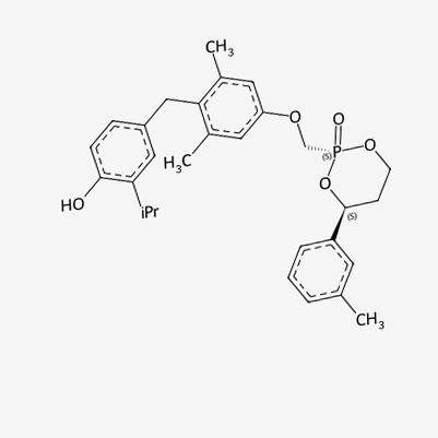 Cc1cccc([C@@H]2CCO[P@@](=O)(COc3cc(C)c(Cc4ccc(O)c(C(C)C)c4)c(C)c3)O2)c1